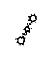 c1cc(OP=C2CCCCCCC2)ccc1OP=C1CCCCCCC1